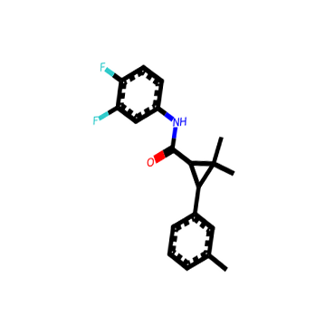 Cc1cccc(C2C(C(=O)Nc3ccc(F)c(F)c3)C2(C)C)c1